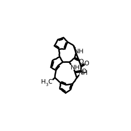 CC1C2=CC3C4NC(=O)C(NC(=O)C(NC4=O)c4cccc(c4)C3C=C2)c2cccc1c2